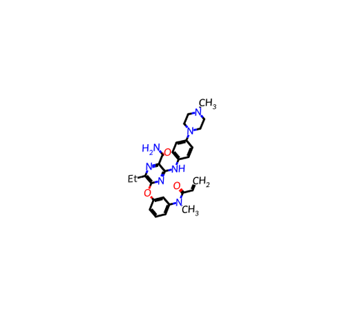 C=CC(=O)N(C)c1cccc(Oc2nc(Nc3ccc(N4CCN(C)CC4)cc3)c(C(N)=O)nc2CC)c1